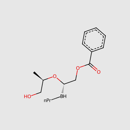 CCCB[C@@H](COC(=O)c1ccccc1)O[C@H](C)CO